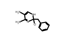 NC1=CNC(Cl)(Cc2ccccc2)N=C1N